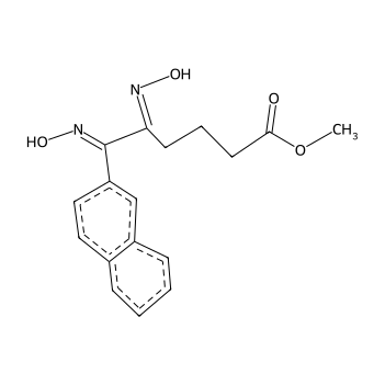 COC(=O)CCCC(=N\O)/C(=N/O)c1ccc2ccccc2c1